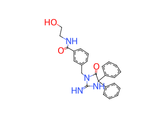 N=C1NC(c2ccccc2)(c2ccccc2)C(=O)N1Cc1cccc(C(=O)NCCO)c1